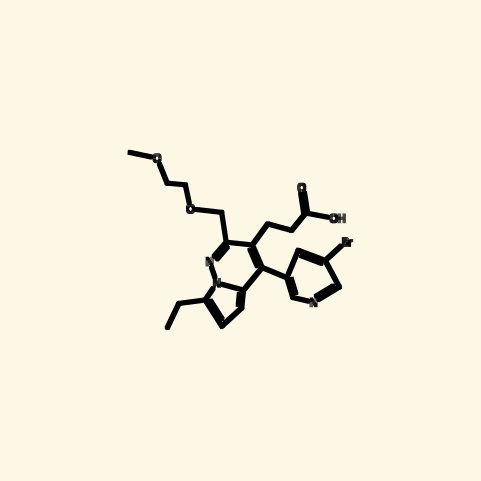 CCc1ccc2c(-c3cncc(Br)c3)c(CCC(=O)O)c(COCCOC)nn12